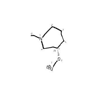 CN1CCC[C@H](OC(C)(C)C)C1